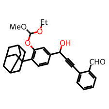 CCOC(OC)Oc1cc(C(O)C#Cc2ccccc2C=O)ccc1C12CC3CC(CC(C3)C1)C2